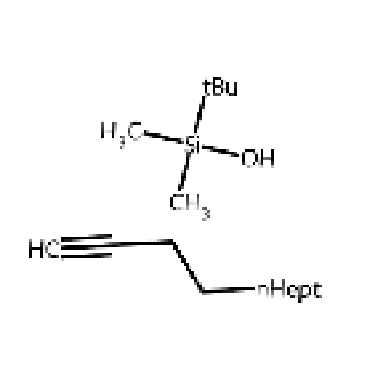 C#CCCCCCCCCC.CC(C)(C)[Si](C)(C)O